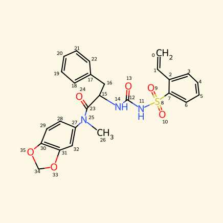 C=Cc1ccccc1S(=O)(=O)NC(=O)NC(Cc1ccccc1)C(=O)N(C)c1ccc2c(c1)OCO2